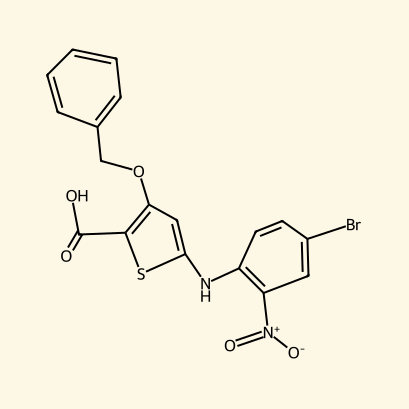 O=C(O)c1sc(Nc2ccc(Br)cc2[N+](=O)[O-])cc1OCc1ccccc1